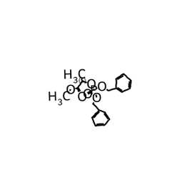 COC(=O)[C@H](C)OP(=O)(OCc1ccccc1)OCc1ccccc1